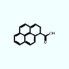 O=C(O)C1CC=c2ccc3cccc4ccc1c2c43